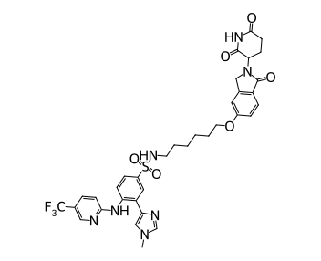 Cn1cnc(-c2cc(S(=O)(=O)NCCCCCCOc3ccc4c(c3)CN(C3CCC(=O)NC3=O)C4=O)ccc2Nc2ccc(C(F)(F)F)cn2)c1